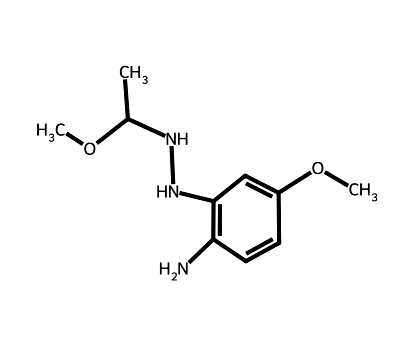 COc1ccc(N)c(NNC(C)OC)c1